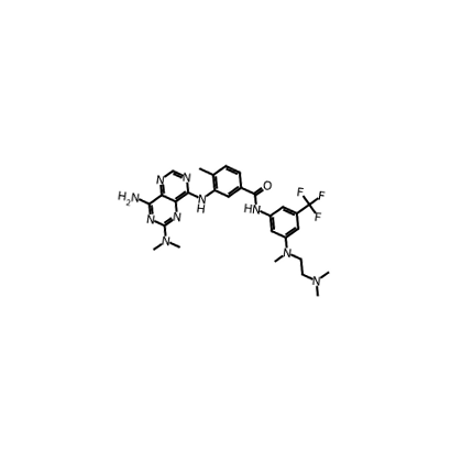 Cc1ccc(C(=O)Nc2cc(N(C)CCN(C)C)cc(C(F)(F)F)c2)cc1Nc1ncnc2c(N)nc(N(C)C)nc12